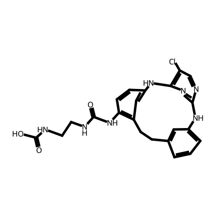 O=C(O)NCCNC(=O)Nc1ccc2cc1CCc1cccc(c1)Nc1ncc(Cl)c(n1)N2